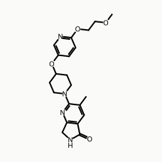 COCCOc1ccc(OC2CCN(c3nc4c(cc3C)C(=O)NC4)CC2)cn1